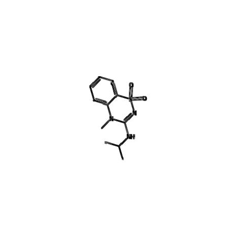 CC(C)NC1=NS(=O)(=O)c2ccccc2N1C